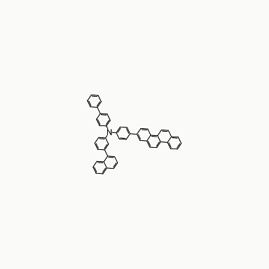 c1ccc(-c2ccc(N(c3ccc(-c4ccc5c(ccc6c7ccccc7ccc56)c4)cc3)c3cccc(-c4cccc5ccccc45)c3)cc2)cc1